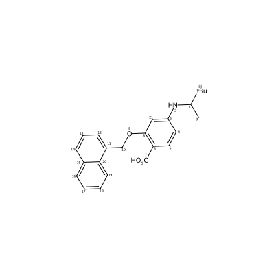 CC(Nc1ccc(C(=O)O)c(OCc2cccc3ccccc23)c1)C(C)(C)C